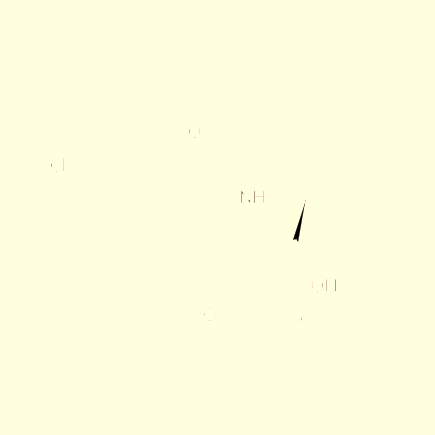 CC12OC(=O)C1(C(O)[C@@H]1C=CCCC1)NC(=O)C2CCCl